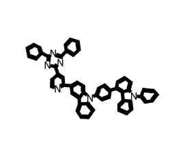 c1ccc(-c2nc(-c3ccccc3)nc(-c3ccnc(-c4ccc5c(c4)c4ccccc4n5-c4ccc(-c5cccc6c5c5ccccc5n6-c5ccccc5)cc4)c3)n2)cc1